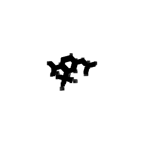 CC(C)c1ccc(CN(C)C)cc1C(F)(F)F